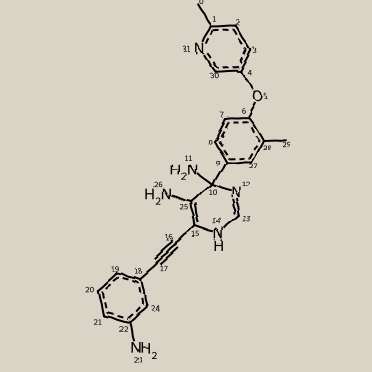 Cc1ccc(Oc2ccc(C3(N)N=CNC(C#Cc4cccc(N)c4)=C3N)cc2C)cn1